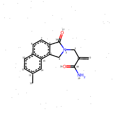 C=C(CN1Cc2c(ccc3ccc(C)cc23)C1=O)C(N)=O